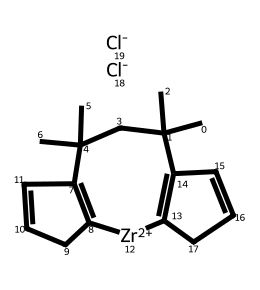 CC1(C)CC(C)(C)C2=[C](CC=C2)[Zr+2][C]2=C1C=CC2.[Cl-].[Cl-]